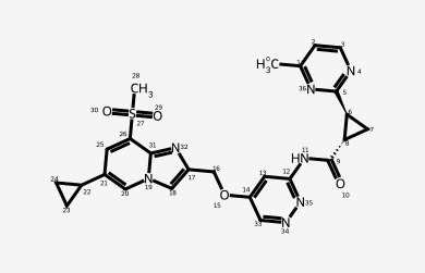 Cc1ccnc([C@H]2C[C@@H]2C(=O)Nc2cc(OCc3cn4cc(C5CC5)cc(S(C)(=O)=O)c4n3)cnn2)n1